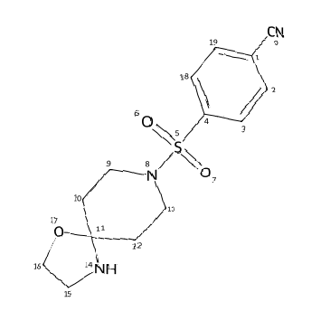 N#Cc1ccc(S(=O)(=O)N2CCC3(CC2)NCCO3)cc1